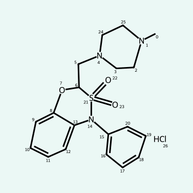 CN1CCN(CC2Oc3ccccc3N(c3ccccc3)S2(=O)=O)CC1.Cl